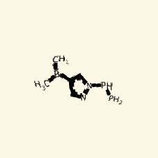 CB(C)c1cnn(PP)c1